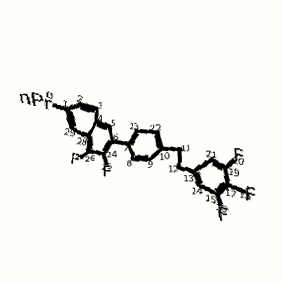 CCCc1ccc2cc(-c3ccc(CCc4cc(F)c(F)c(F)c4)cc3)c(F)c(F)c2c1